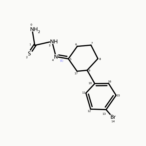 NC(=S)N/N=C1\CCCC(c2ccc(Br)cc2)C1